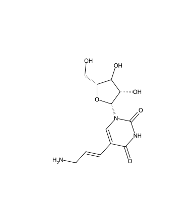 NC/C=C/c1cn([C@@H]2O[C@H](CO)C(O)[C@@H]2O)c(=O)[nH]c1=O